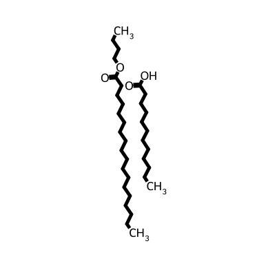 CCCCCCCCCCCC(=O)O.CCCCCCCCCCCCCCCCCC(=O)OCCCC